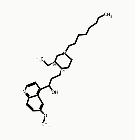 CCCCCCCCN1CC[C@@H](CCC(O)c2ccnc3ccc(OC)cc23)[C@@H](CC)C1